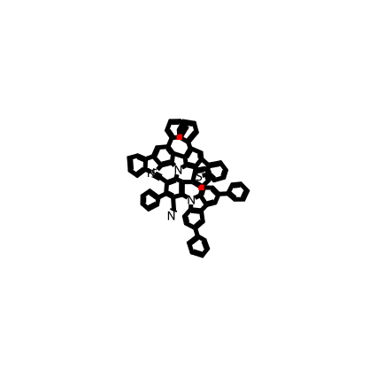 N#Cc1c(-c2ccccc2)c(C#N)c(-n2c3c4sc5ccccc5c4cc(-c4ccccc4)c3c3c(-c4ccccc4)cc4c5ccccc5sc4c32)c(-c2ccccc2)c1-n1c2ccc(-c3ccccc3)cc2c2cc(-c3ccccc3)ccc21